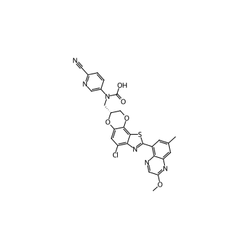 COc1cnc2c(-c3nc4c(Cl)cc5c(c4s3)OC[C@@H](CN(C(=O)O)c3ccc(C#N)nc3)O5)cc(C)cc2n1